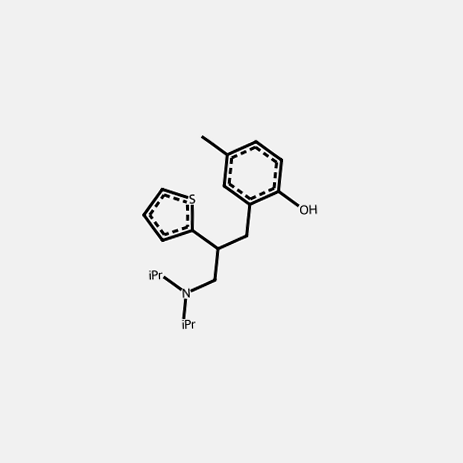 Cc1ccc(O)c(CC(CN(C(C)C)C(C)C)c2cccs2)c1